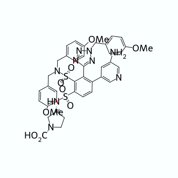 COc1ccc(CN(Cc2ccc(OC)cc2)S(=O)(=O)c2c(S(=O)(=O)N[C@@H]3CCN(C(=O)O)C3)ccc(-c3cncc(N)c3)c2-c2nnn(Cc3ccc(OC)cc3)n2)cc1